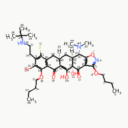 CCCCOc1noc2c1C(=O)[C@@]1(O)C(O)=C3C(=O)c4c(c(F)c(CCNC(C)(C)C)c(Br)c4OCCCC)C[C@H]3C[C@H]1[C@@H]2N(C)C